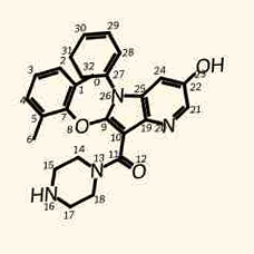 Cc1cccc(C)c1Oc1c(C(=O)N2CCNCC2)c2ncc(O)cc2n1C1=CC=CCC1